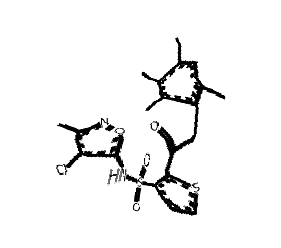 Cc1cc(C)c(CC(=O)c2sccc2S(=O)(=O)Nc2onc(C)c2Cl)c(C)c1C